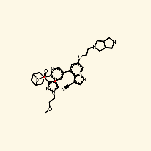 COCCn1ccc(C(=O)N2C3CC2CN(c2ccc(-c4cc(OCCN5CC6CNCC6C5)cn5ncc(C#N)c45)cn2)C3)n1